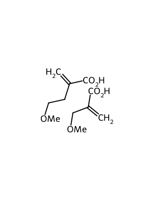 C=C(CCOC)C(=O)O.C=C(COC)C(=O)O